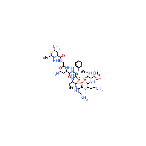 CCCNC(=O)C(NC(=O)C(CCN)NC(=O)C(CCN)NC(=O)C(CC(C)C)NC(=O)[C@@H](Cc1ccccc1)NC(=O)C(CCN)NC(=O)CNC(=O)C(CCN)NC(=O)CCC)C(C)O